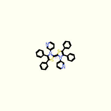 c1ccc(C2=C(c3ccccc3)N(c3cccnc3)/C(=C3\SC(c4ccccc4)=C(c4ccccc4)N3c3cccnc3)S2)cc1